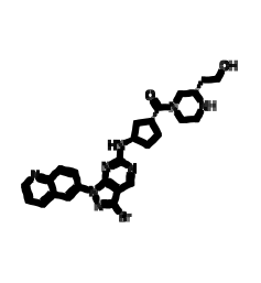 O=C([C@@H]1CC[C@@H](Nc2ncc3c(Br)nn(-c4ccc5ncccc5c4)c3n2)C1)N1CCN[C@@H](CCO)C1